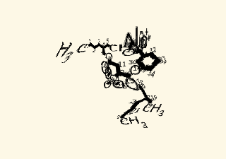 CCCCC(CC)COC(=O)CC(C(=O)OCC(CC)CCCC)S(=O)(=O)[O-].O=C([O-])c1ccccc1.[Na+].[Na+]